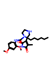 CCCCCCC1(C2=C(C)C(=O)NC2=O)CNCCN1C(=O)Nc1ccc(OC)cc1OC